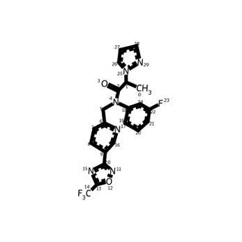 CC(C(=O)N(Cc1ccc(-c2noc(C(F)(F)F)n2)cn1)c1cccc(F)c1)n1cccn1